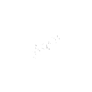 O=C(O)N1CCN(c2ccc(N3C[C@@H](CO)OC3=O)cc2F)CC1